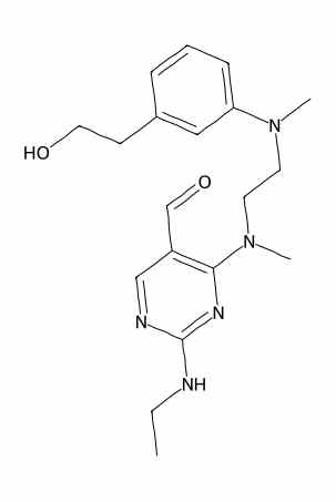 CCNc1ncc(C=O)c(N(C)CCN(C)c2cccc(CCO)c2)n1